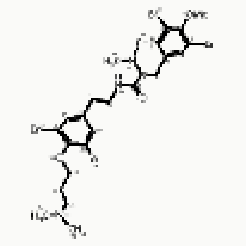 COc1c(Br)cc(CC(C(=O)NCCc2cc(Br)c(OCCCN(C)C)c(Br)c2)N(C)C)cc1Br